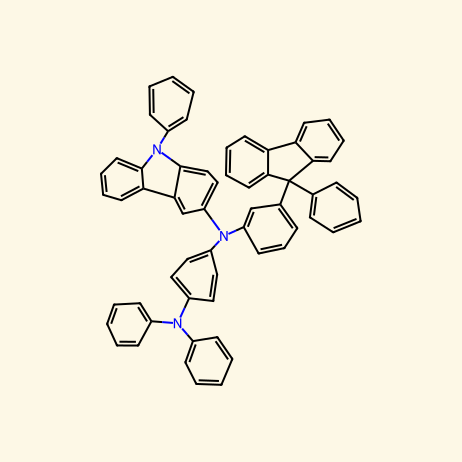 c1ccc(N(c2ccccc2)c2ccc(N(c3cccc(C4(c5ccccc5)c5ccccc5-c5ccccc54)c3)c3ccc4c(c3)c3ccccc3n4-c3ccccc3)cc2)cc1